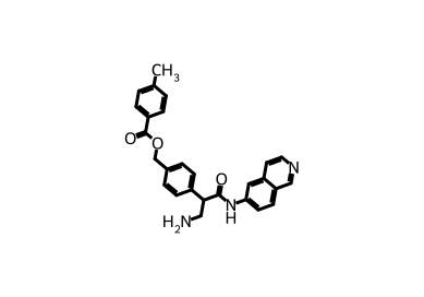 Cc1ccc(C(=O)OCc2ccc(C(CN)C(=O)Nc3ccc4cnccc4c3)cc2)cc1